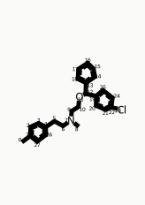 Cc1ccc(CCN(C)CCOC(c2ccccc2)c2ccc(Cl)cc2)cc1